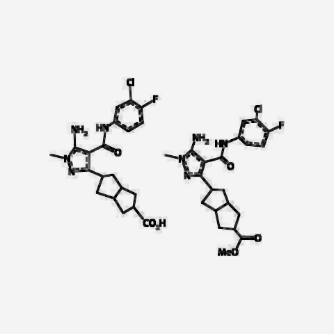 COC(=O)C1CC2CC(c3nn(C)c(N)c3C(=O)Nc3ccc(F)c(Cl)c3)CC2C1.Cn1nc(C2CC3CC(C(=O)O)CC3C2)c(C(=O)Nc2ccc(F)c(Cl)c2)c1N